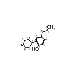 CCCc1ccc(O)c(C2CCCCC2)c1